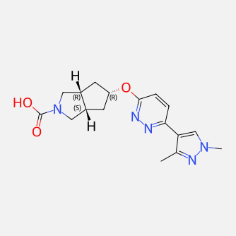 Cc1nn(C)cc1-c1ccc(O[C@@H]2C[C@@H]3CN(C(=O)O)C[C@@H]3C2)nn1